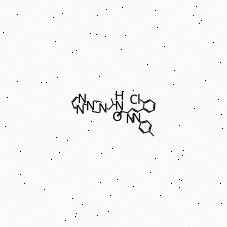 Cc1ccc(-n2nc(C(=O)NC(C)CN3CCN(c4ncccn4)CC3)cc2-c2ccccc2Cl)cc1